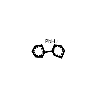 [PbH2].c1ccc(-c2ccccc2)cc1